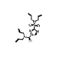 C=CCN(CC=C)C(=O)n1cnc(S(=O)(=O)N(CC=C)CC=C)n1